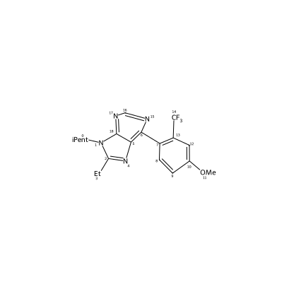 CCCC(C)n1c(CC)nc2c(-c3ccc(OC)cc3C(F)(F)F)ncnc21